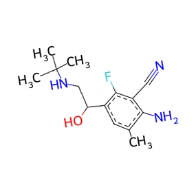 Cc1cc(C(O)CNC(C)(C)C)c(F)c(C#N)c1N